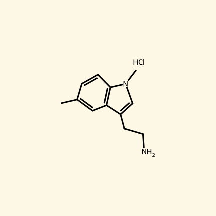 Cc1ccc2c(c1)c(CCN)cn2C.Cl